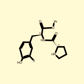 CC(C)OC(=O)[C@H](Cc1ccc(O)c(F)c1)NC(=O)[C@@H]1CCCN1